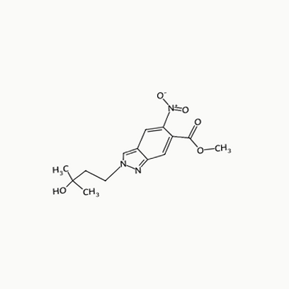 COC(=O)c1cc2nn(CCC(C)(C)O)cc2cc1[N+](=O)[O-]